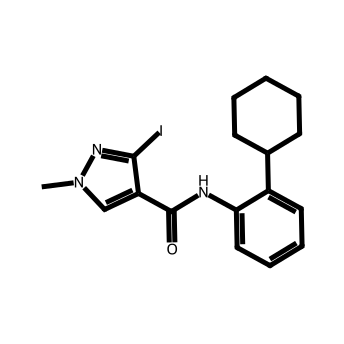 Cn1cc(C(=O)Nc2ccccc2C2CCCCC2)c(I)n1